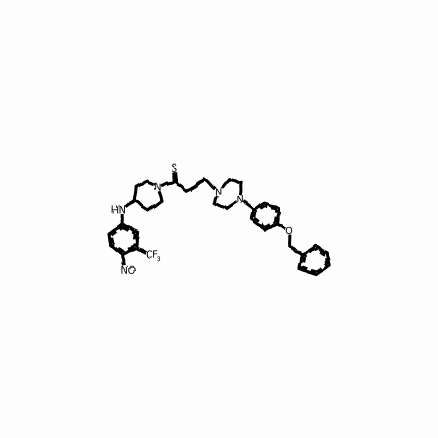 O=Nc1ccc(NC2CCN(C(=S)CCN3CCN(c4ccc(OCc5ccccc5)cc4)CC3)CC2)cc1C(F)(F)F